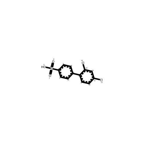 O=S(=O)(O)c1ccc(-c2ccc(Cl)cc2Cl)cc1